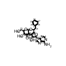 Nc1ncnc2c1ncn2[C@@H]1O[C@H](C(Cc2ccccc2)O[C@H]2O[C@H](CO)[C@@H](O)[C@H](O)[C@@H]2O)[C@@H](O)[C@H]1O